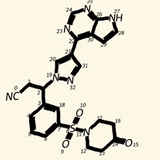 N#CCC(c1cccc(S(=O)(=O)N2CCC(=O)CC2)c1)n1cc(-c2ncnc3[nH]ccc23)cn1